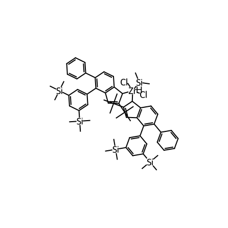 C[SiH](C)[Zr]([Cl])([Cl])([CH]1C(C(C)(C)C)=Cc2c1ccc(-c1ccccc1)c2-c1cc([Si](C)(C)C)cc([Si](C)(C)C)c1)[CH]1C(C(C)(C)C)=Cc2c1ccc(-c1ccccc1)c2-c1cc([Si](C)(C)C)cc([Si](C)(C)C)c1